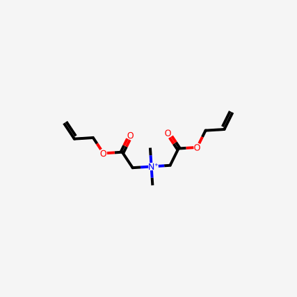 C=CCOC(=O)C[N+](C)(C)CC(=O)OCC=C